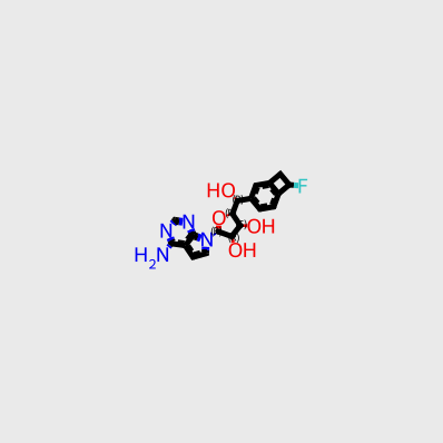 Nc1ncnc2c1ccn2[C@@H]1O[C@H]([C@H](O)c2ccc3c(c2)CC3F)[C@@H](O)[C@H]1O